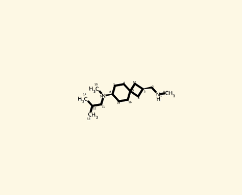 CNC[C@H]1CC2(CC[C@H](N(C)CC(C)C)CC2)C1